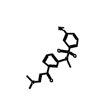 CN(C)C=CC(=O)c1cccc(N(C)S(=O)(=O)c2cccc(C#N)c2)c1